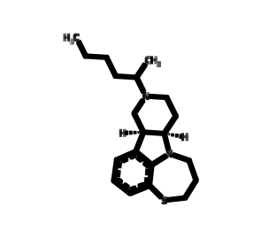 CCCCC(C)N1CC[C@@H]2[C@H](C1)c1cccc3c1N2CCCS3